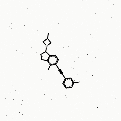 Cc1c(C#Cc2cccc(F)c2)ccc2c1CCC2N1CC(C)C1